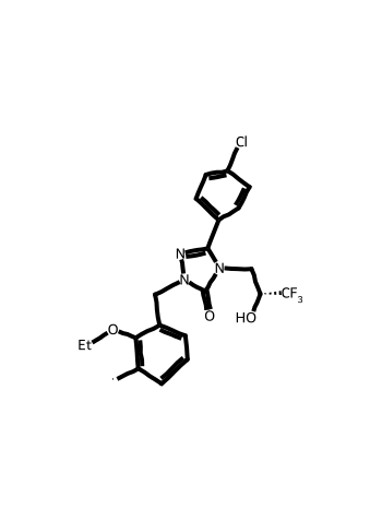 [CH2]c1cccc(Cn2nc(-c3ccc(Cl)cc3)n(C[C@@H](O)C(F)(F)F)c2=O)c1OCC